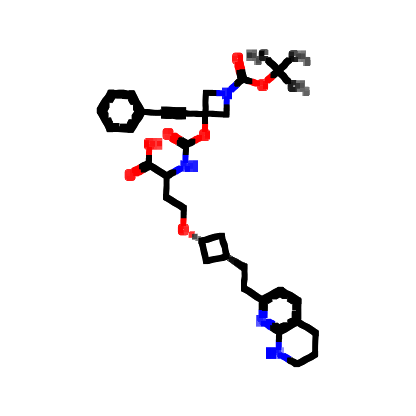 CC(C)(C)OC(=O)N1CC(C#Cc2ccccc2)(OC(=O)NC(CCO[C@H]2C[C@H](CCc3ccc4c(n3)NCCC4)C2)C(=O)O)C1